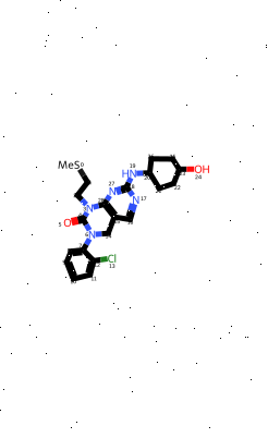 CSCCN1C(=O)N(c2ccccc2Cl)Cc2cnc(NC3CCC(O)CC3)nc21